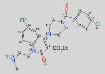 CCOC(=O)c1c(N2CCN(C(=O)c3ccc(Cl)cc3)CC2)c2cc(Cl)ccc2n(CCN(C)C)c1=O